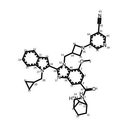 COc1cc(C(=O)N2CC3CCC2[C@@H]3N)cc2nc(-c3cc4ccccc4n3CC3CC3)n(CC3CN(c4cncc(C#N)c4)C3)c12